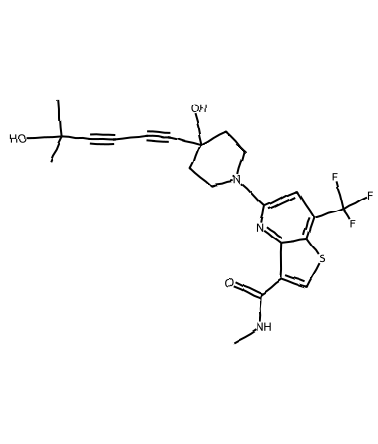 CNC(=O)c1csc2c(C(F)(F)F)cc(N3CCC(O)(C#CC#CC(C)(C)O)CC3)nc12